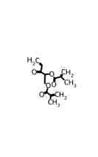 C=CC(=O)C(COC(=O)C(=C)C)OC(=O)C(=C)C